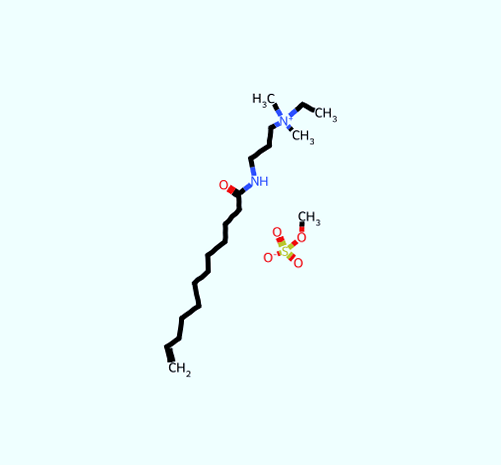 C=CCCCCCCCCCC(=O)NCCC[N+](C)(C)CC.COS(=O)(=O)[O-]